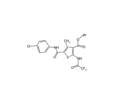 Cc1c(C(=O)Nc2ccc(Cl)cc2)sc(NC(=O)C(F)(F)F)c1C(=O)OC(C)C